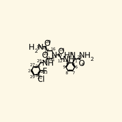 N=C(C(N)=O)c1ccccc1NCC(=O)N(CCC(N)=O)CC(=O)NCc1cccc(Cl)c1F